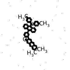 Cc1ccc(N(c2ccc(C)cc2)c2c3ccccc3c(-c3ccc4oc5cc6cc7cc(C)c(C)cc7cc6cc5c4c3)c3ccccc23)cc1